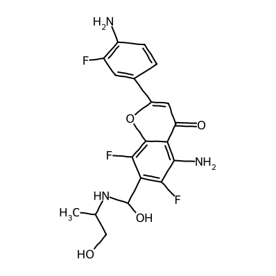 CC(CO)NC(O)c1c(F)c(N)c2c(=O)cc(-c3ccc(N)c(F)c3)oc2c1F